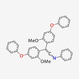 COc1cc(Oc2ccccc2)ccc1C(=C=Nc1ccccc1)c1ccc(Oc2ccccc2)cc1OC